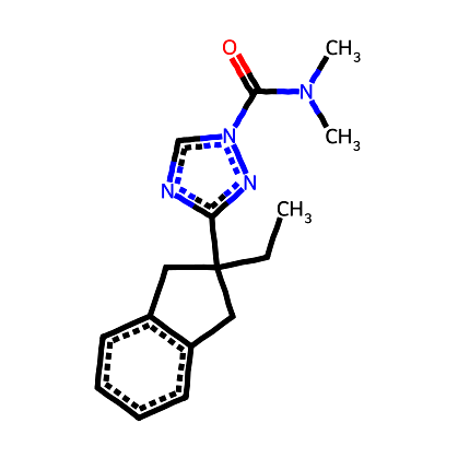 CCC1(c2ncn(C(=O)N(C)C)n2)Cc2ccccc2C1